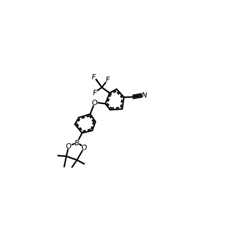 CC1(C)OB(c2ccc(Oc3ccc(C#N)cc3C(F)(F)F)cc2)OC1(C)C